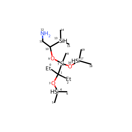 CCC(CC)(O[SiH](C)C)[Si](C)(OC(CN)[SiH](C)C)O[SiH](C)C